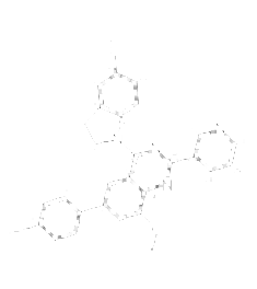 COc1cc(-c2ccc(F)cc2)cc2c(N3CCc4cc(Cl)ccc43)nc(-c3cccnc3)nc12